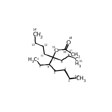 CCCCC(CC)C(CCC)(CCCC)OC(C)=O